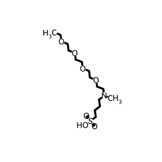 CCOCCOCCOCCOCCN(C)CCCCS(=O)(=O)O